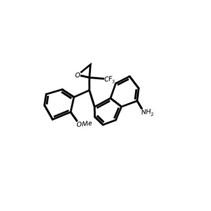 COc1ccccc1C(c1cccc2c(N)cccc12)C1(C(F)(F)F)CO1